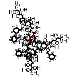 C[C@@H](O)[C@@H](O)[C@H](O)CC(=O)N[C@]1(O)[C@@H](OCc2ccccc2)O[C@H](C(O)N(C(=O)c2cccc(C(=O)N(C(O)[C@H]3O[C@H](OCc4ccccc4)[C@@](O)(NC(=O)C[C@@H](O)[C@H](O)[C@@H](C)O)[C@@H](O)[C@@H]3O)C(O)[C@H]3O[C@H](OCc4ccccc4)[C@@](O)(NC(=O)C[C@@H](O)[C@H](O)[C@@H](C)O)[C@@H](O)[C@@H]3O)c2)C(O)[C@H]2O[C@H](OCc3ccccc3)[C@@](O)(NC(=O)C[C@@H](O)[C@H](O)[C@@H](C)O)[C@@H](O)[C@@H]2O)[C@@H](O)[C@@H]1O